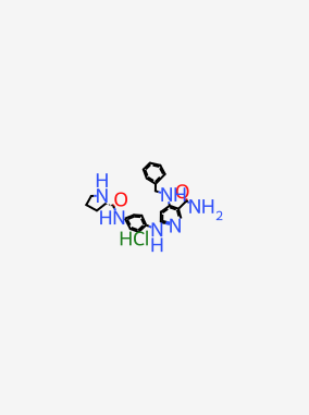 Cl.NC(=O)c1cnc(Nc2ccc(NC(=O)[C@@H]3CCCN3)cc2)cc1NCc1ccccc1